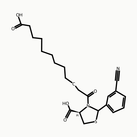 N#Cc1cccc(C2SC[C@@H](C(=O)O)N2C(=O)CCCCCCCCCCC(=O)O)c1